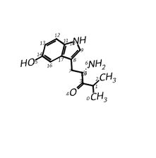 CC(C)C(=O)[C@@H](N)Cc1c[nH]c2ccc(O)cc12